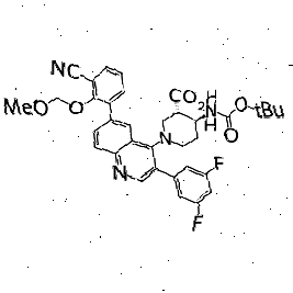 COCOc1c(C#N)cccc1-c1ccc2ncc(-c3cc(F)cc(F)c3)c(N3CC[C@H](NC(=O)OC(C)(C)C)[C@@H](C(=O)O)C3)c2c1